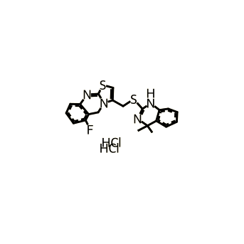 CC1(C)N=C(SCC2=CSC3=Nc4cccc(F)c4CN23)Nc2ccccc21.Cl.Cl